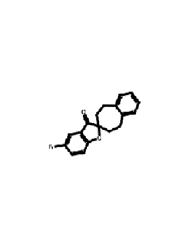 O=C1c2cc(Br)ccc2OC12CCc1ccccc1CC2